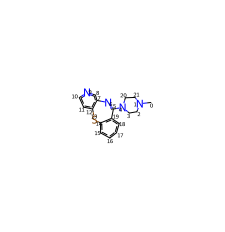 CN1CCN(C2=Nc3cnccc3Sc3ccccc32)CC1